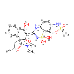 CC(C)CCC1(C(=O)N(C)C)C(=O)C(C2=NS(O)(O)c3cc(NS(C)(=O)=O)ccc3N2)=C(O)c2ccccc21